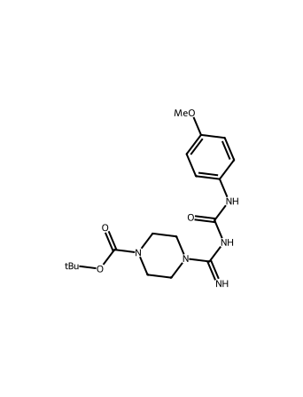 COc1ccc(NC(=O)NC(=N)N2CCN(C(=O)OC(C)(C)C)CC2)cc1